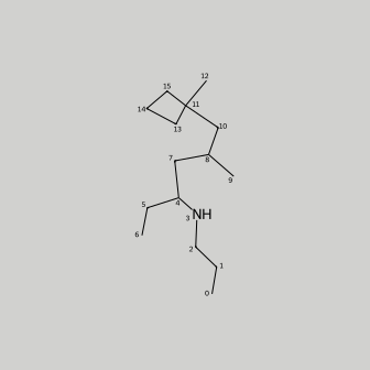 CCCNC(CC)CC(C)CC1(C)CCC1